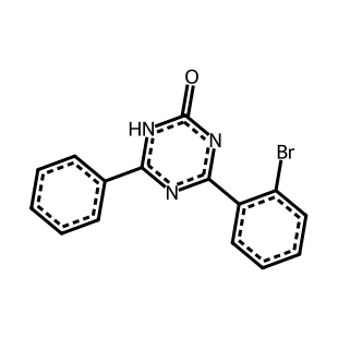 O=c1nc(-c2ccccc2Br)nc(-c2ccccc2)[nH]1